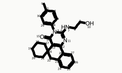 Cc1ccc(-n2c(NCCO)nc3c(c2=O)C2(CCCCC2)Cc2ccccc2-3)cc1